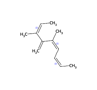 C=C(/C(C)=C\C)/C(C)=C\C=C/C